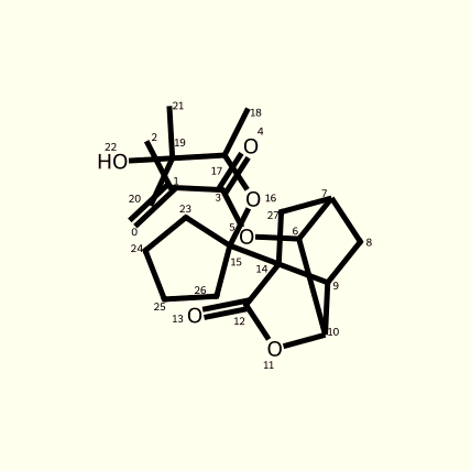 C=C(C)C(=O)OC1C2CC3C1OC(=O)C3(C1(OC(C)C(C)(C)O)CCCC1)C2